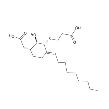 CCCCCCCC/C=C1\CC[C@H](CC(=O)O)[C@@H](O)[C@@H]1SCCC(=O)O